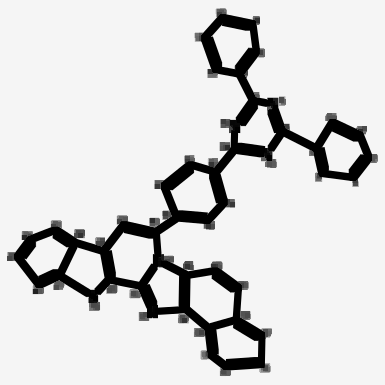 c1ccc(-c2nc(-c3ccccc3)nc(-c3ccc(-c4cc5c6ccccc6sc5c5nc6c7ccccc7ccc6n45)cc3)n2)cc1